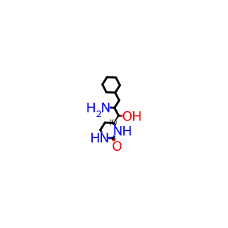 NC(CC1CCCCC1)C(O)[C@@H]1CCNC(=O)N1